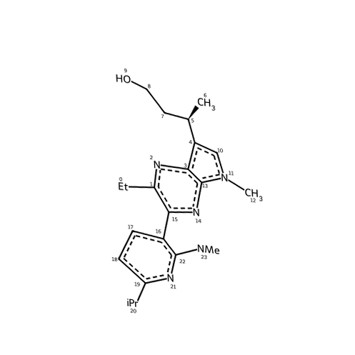 CCc1nc2c([C@H](C)CCO)cn(C)c2nc1-c1ccc(C(C)C)nc1NC